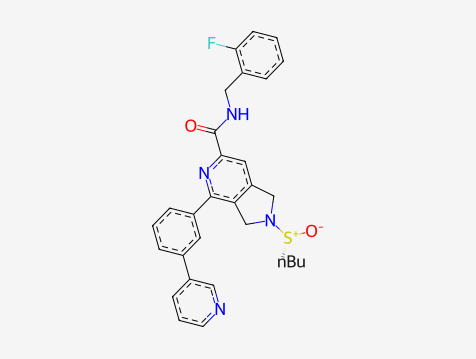 CCCC[S@@+]([O-])N1Cc2cc(C(=O)NCc3ccccc3F)nc(-c3cccc(-c4cccnc4)c3)c2C1